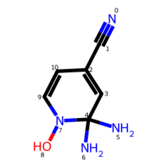 N#CC1=CC(N)(N)N(O)C=C1